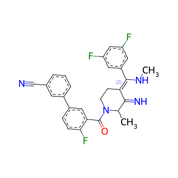 CN/C(=C1/CCN(C(=O)c2cc(-c3cccc(C#N)c3)ccc2F)C(C)C1=N)c1cc(F)cc(F)c1